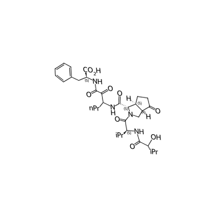 CCCC(NC(=O)[C@@H]1[C@H]2CCC(=O)[C@H]2CN1C(=O)[C@@H](NC(=O)C(O)C(C)C)C(C)C)C(=O)C(=O)N[C@@H](Cc1ccccc1)C(=O)O